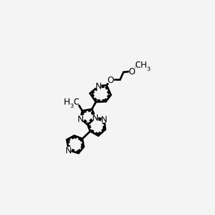 COCCOc1ccc(-c2c(C)nc3c(-c4ccncc4)ccnn23)cn1